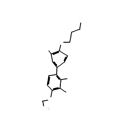 CCCCOc1ccc(-c2ccc(OCC)c(F)c2F)cc1F